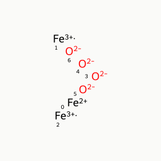 [Fe+2].[Fe+3].[Fe+3].[O-2].[O-2].[O-2].[O-2]